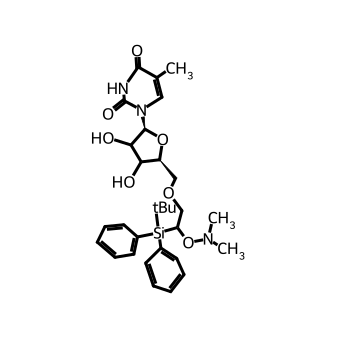 Cc1cn([C@H]2O[C@@H](COCC(ON(C)C)[Si](c3ccccc3)(c3ccccc3)C(C)(C)C)C(O)C2O)c(=O)[nH]c1=O